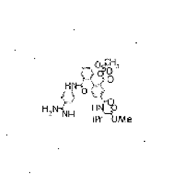 COC(=O)[C@@H](NC(=O)c1ccc(-c2ccccc2C(=O)Nc2ccc(C(=N)N)cc2)c(C(=O)OS(C)(=O)=O)c1)C(C)C